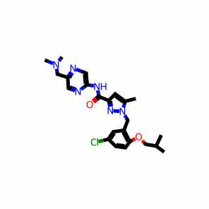 Cc1cc(C(=O)Nc2cnc(CN(C)C)cn2)nn1Cc1cc(Cl)ccc1OCC(C)C